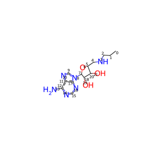 CCCNCC1OC(n2cnc3c(N)ncnc32)C(O)C1O